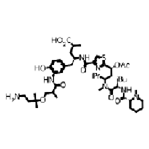 CC[C@H](C)[C@H](NC(=O)[C@H]1CCCCN1C)C(=O)N(C)C(C[C@@H](OC(C)=O)c1nc(C(=O)N[C@@H](Cc2ccc(O)c(NC(=O)C(C)COC(C)(C)CCN)c2)CC(C)C(=O)O)cs1)C(C)C